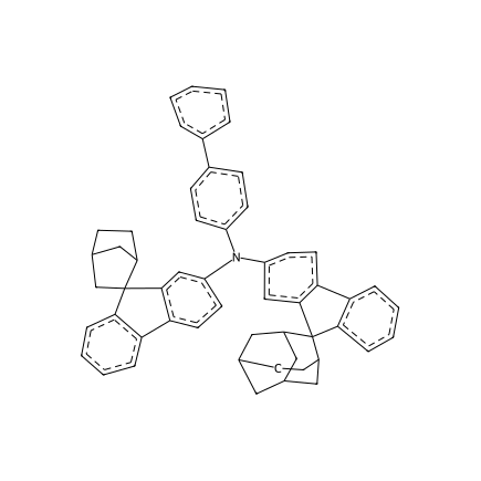 c1ccc(-c2ccc(N(c3ccc4c(c3)C3(CC5CCC3C5)c3ccccc3-4)c3ccc4c(c3)C3(c5ccccc5-4)C4CCC5CC(C4)CC3C5)cc2)cc1